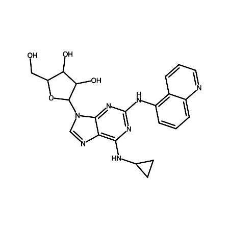 OCC1OC(n2cnc3c(NC4CC4)nc(Nc4cccc5ncccc45)nc32)C(O)C1O